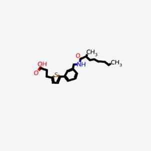 CCCCCCC(C)C(=O)NCc1cccc(-c2ccc(CCC(=O)O)s2)c1